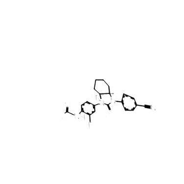 CC(=O)Nc1ccc(N2C(=O)N(c3ccc(C#N)cc3)[C@H]3CCCC[C@@H]32)cc1F